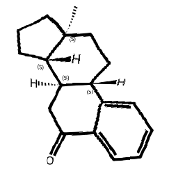 C[C@@]12CCC[C@H]1[C@@H]1CC(=O)c3ccccc3[C@H]1CC2